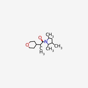 CC1CC(C)N(C(=O)C(C)C2CCOCC2)C1C